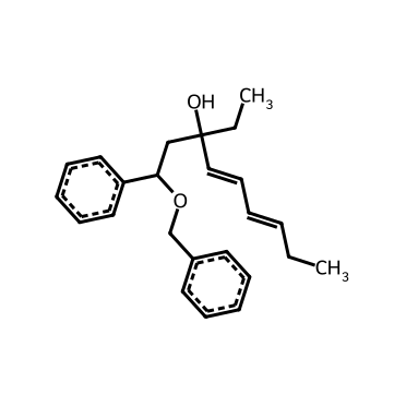 CCC=CC=CC(O)(CC)CC(OCc1ccccc1)c1ccccc1